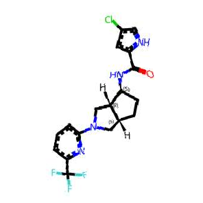 O=C(N[C@H]1CC[C@@H]2CN(c3cccc(C(F)(F)F)n3)C[C@@H]21)c1cc(Cl)c[nH]1